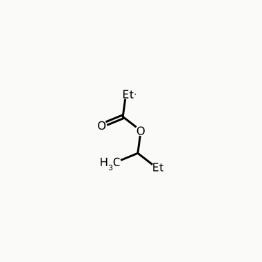 C[CH]C(=O)OC(C)CC